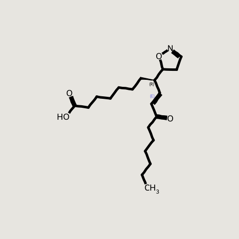 CCCCCCC(=O)/C=C/[C@@H](CCCCCCC(=O)O)C1CC=NO1